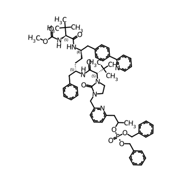 COC(=O)N[C@H](C(=O)N[C@H](CC[C@@H](Cc1ccccc1)NC(=O)[C@@H](N1CCN(Cc2cccc(CC(C)OP(=O)(OCc3ccccc3)OCc3ccccc3)n2)C1=O)C(C)(C)C)Cc1ccc(-c2ccccn2)cc1)C(C)(C)C